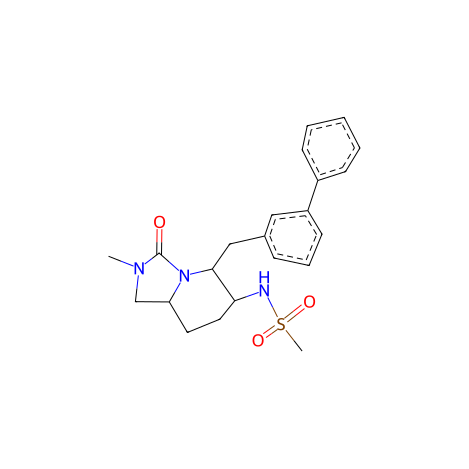 CN1CC2CCC(NS(C)(=O)=O)C(Cc3cccc(-c4ccccc4)c3)N2C1=O